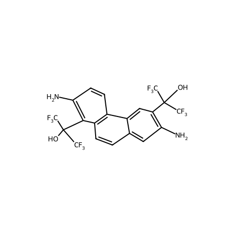 Nc1cc2ccc3c(C(O)(C(F)(F)F)C(F)(F)F)c(N)ccc3c2cc1C(O)(C(F)(F)F)C(F)(F)F